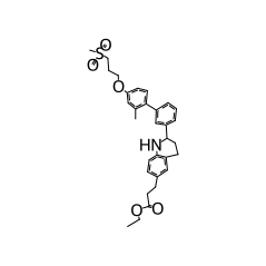 CCOC(=O)CCc1ccc2c(c1)CCC(c1cccc(-c3ccc(OCCCS(C)(=O)=O)cc3C)c1)N2